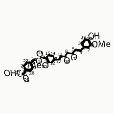 COc1cc(C=CC(=O)CC(=O)C=Cc2ccc(C(=O)OCc3ccc(C(=O)C=O)cc3)c(OC)c2)ccc1O